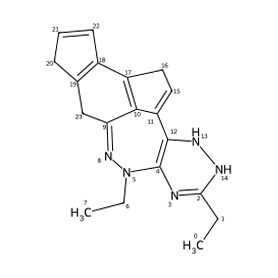 CCc1nc2n(CC)nc3c4c(c=2[nH][nH]1)=CCC=4C1=C(CC=C1)C3